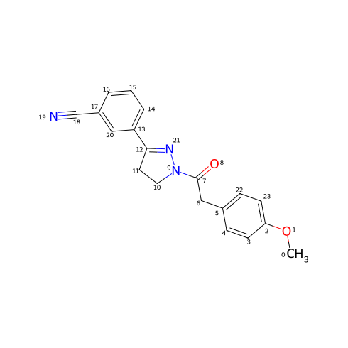 COc1ccc(CC(=O)N2CCC(c3cccc(C#N)c3)=N2)cc1